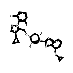 Clc1cccc(Cl)c1-n1ncc(C2CC2)c1CO[C@@H]1C[C@@H]2C[C@H]1CN2c1nc2c(OC3CC3)cccc2s1